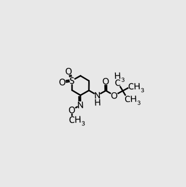 CO/N=C1\CS(=O)(=O)CCC1NC(=O)OC(C)(C)C